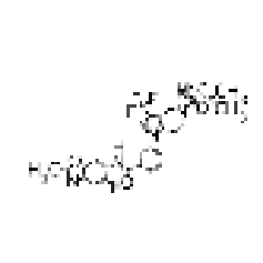 Cc1nc2cc(F)c(NC(=O)c3cccc(-n4nc(C(F)(F)F)c5c4CCN(C(=O)OC(C)(C)C)C5)c3)cc2o1